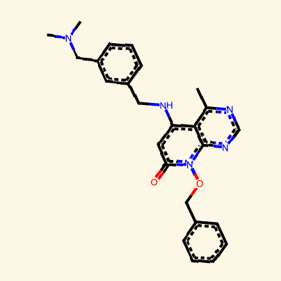 Cc1ncnc2c1c(NCc1cccc(CN(C)C)c1)cc(=O)n2OCc1ccccc1